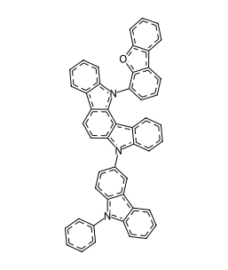 c1ccc(-n2c3ccccc3c3cc(-n4c5ccccc5c5c4ccc4c6ccccc6n(-c6cccc7c6oc6ccccc67)c45)ccc32)cc1